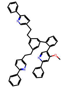 COc1cc(-c2ccccc2)ncc1-c1ccccc1-c1cc(CCc2ccc(-c3ccccc3)nc2)cc(CCc2ccc(-c3ccccc3)nc2)c1